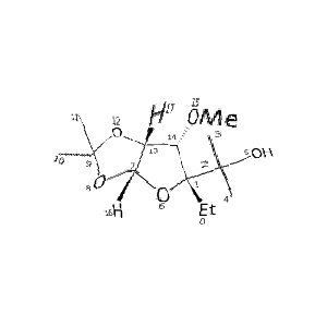 CC[C@@]1(C(C)(C)O)O[C@@H]2OC(C)(C)O[C@@H]2[C@@H]1OC